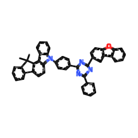 CC1(C)c2ccccc2-c2ccc3c(c21)c1ccccc1n3-c1ccc(-c2nc(-c3ccccc3)nc(-c3ccc4oc5ccccc5c4c3)n2)cc1